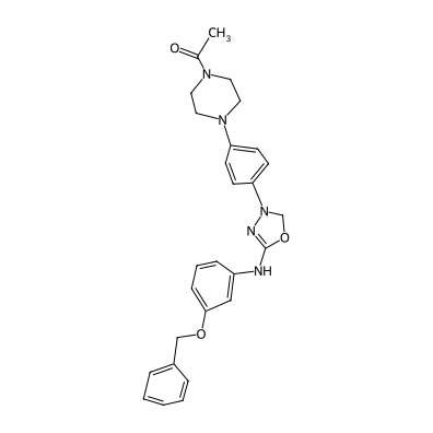 CC(=O)N1CCN(c2ccc(N3COC(Nc4cccc(OCc5ccccc5)c4)=N3)cc2)CC1